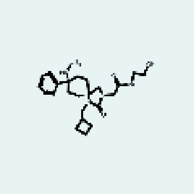 CN[C@]1(c2ccccc2)CC[C@@]2(CC1)CN(CC(=O)NCCO)C(=O)N2CC1CCC1